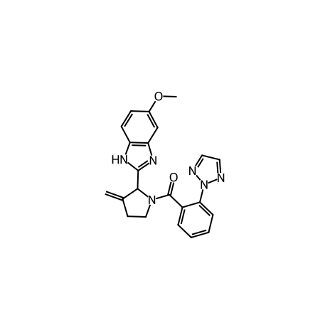 C=C1CCN(C(=O)c2ccccc2-n2nccn2)C1c1nc2cc(OC)ccc2[nH]1